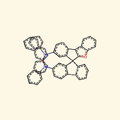 c1ccc(N(c2ccccc2)c2ccc3c(c2)C2(c4ccccc4-c4ccc(N(c5ccccc5)c5ccc6ccccc6c5)cc42)c2oc4ccccc4c2-3)cc1